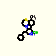 CC1CCC2=C3CNCC(Cc4ccccc4)C3N3CC=CSC1=C23.Cl